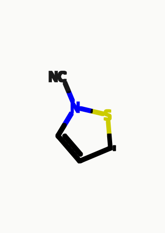 N#CN1C=C[C]S1